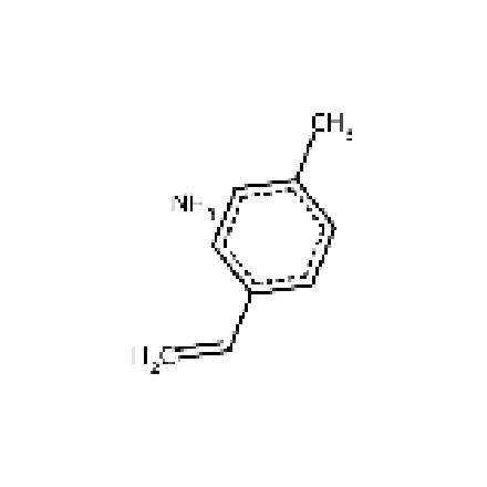 C=Cc1ccc(C)cc1.N